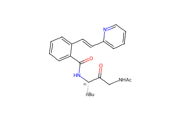 CCCC[C@H](NC(=O)c1ccccc1C=Cc1ccccn1)C(=O)CNC(C)=O